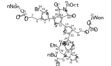 CCCCCCCCCOC(=O)OCCc1cc(-c2sc(-c3cc(CCOC(=O)OCCCCCCCCC)c(-c4cc5c(s4)-c4sccc4[Si]5(CC(CC)CCCC)CC(CC)CCCC)s3)c3c2C(=O)N(CCCCCCCC)C3=O)sc1Br